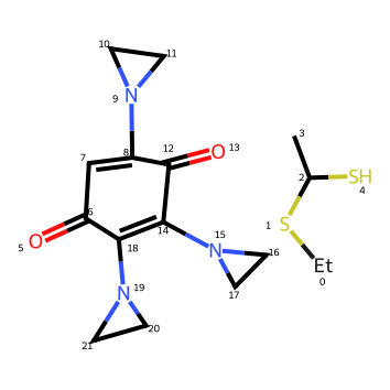 CCSC(C)S.O=C1C=C(N2CC2)C(=O)C(N2CC2)=C1N1CC1